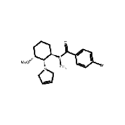 CO[C@@H]1CCC[C@@H](N(C)C(=O)c2ccc(Br)cc2)[C@@H]1N1CC=CC1